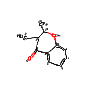 O=C(O)C1C(=O)c2ccccc2OC1C(F)(F)F